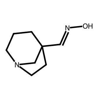 ON=CC12CCCN(CC1)C2